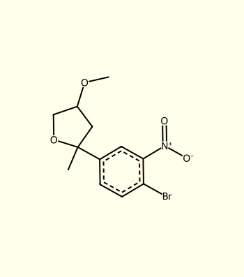 COC1COC(C)(c2ccc(Br)c([N+](=O)[O-])c2)C1